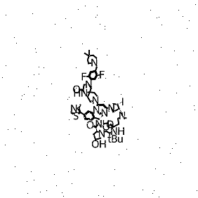 Cc1ncsc1-c1ccc([C@H](C)NC(=O)[C@@H]2C[C@@H](O)CN2C(=O)[C@@H](NC(=O)CCN(C)C[C@@H]2CN(c3cc(N4CCC5(CC4)CN(c4cc(F)c(CN6CCC(C)(C)CC6)cc4F)CC(=O)N5)ncn3)C[C@@H]2I)C(C)(C)C)cc1